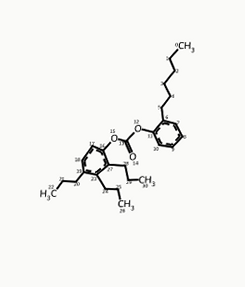 CCCCCCc1ccccc1OC(=O)Oc1ccc(CCC)c(CCC)c1CCC